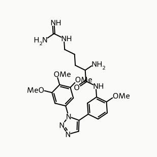 COc1ccc(-c2cnnn2-c2cc(OC)c(OC)c(OC)c2)cc1NC(=O)C(N)CCCNC(=N)N